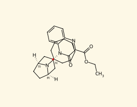 CCOC(=O)c1nc2ccccc2n([C@@H]2C[C@H]3CC[C@@H](C2)N3C2CCCCCCC2)c1=O